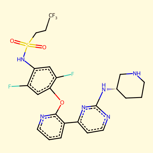 O=S(=O)(CCC(F)(F)F)Nc1cc(F)c(Oc2ncccc2-c2ccnc(N[C@H]3CCCNC3)n2)cc1F